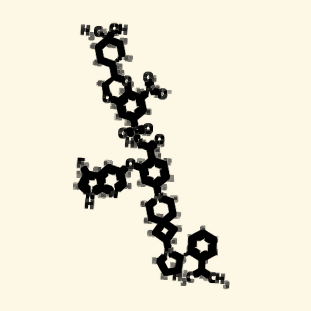 CC(C)c1ccccc1[C@@H]1CCCN1C1CC2(CCN(c3ccc(C(=O)NS(=O)(=O)c4cc5c(c([N+](=O)[O-])c4)O[C@H]([C@H]4CC[C@](C)(O)CC4)CO5)c(Oc4cnc5[nH]cc(F)c5c4)c3)CC2)C1